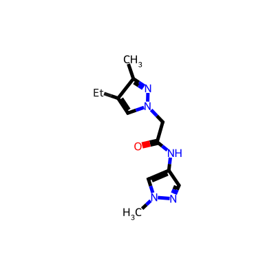 CCc1cn(CC(=O)Nc2cnn(C)c2)nc1C